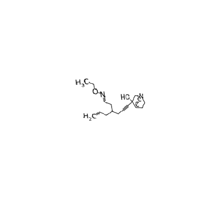 C=CCC(CC#CC1(O)CN2CCC1CC2)CC=NOCC